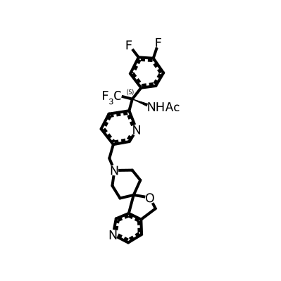 CC(=O)N[C@@](c1ccc(F)c(F)c1)(c1ccc(CN2CCC3(CC2)OCc2ccncc23)cn1)C(F)(F)F